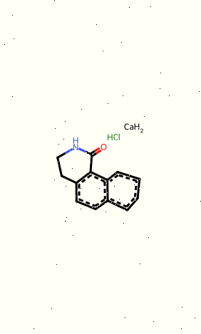 Cl.O=C1NCCc2ccc3ccccc3c21.[CaH2]